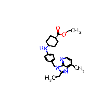 CCOC(=O)[C@H]1CC[C@H](Nc2ccc(Cn3c(CC)nc4c(C)ccnc43)cc2)CC1